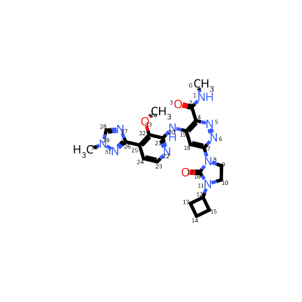 CNC(=O)c1nnc(N2CCN(C3CCC3)C2=O)cc1Nc1nccc(-c2ncn(C)n2)c1OC